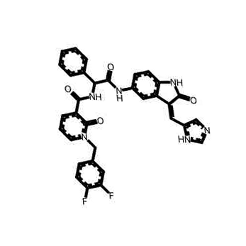 O=C1Nc2ccc(NC(=O)C(NC(=O)c3cccn(Cc4ccc(F)c(F)c4)c3=O)c3ccccc3)cc2/C1=C/c1cnc[nH]1